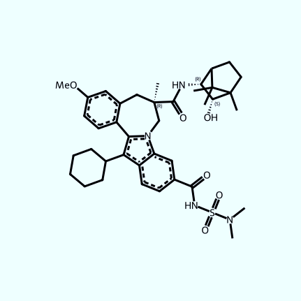 COc1ccc2c(c1)C[C@@](C)(C(=O)N[C@@H]1C3CCC(C)([C@@H]1O)C3(C)C)Cn1c-2c(C2CCCCC2)c2ccc(C(=O)NS(=O)(=O)N(C)C)cc21